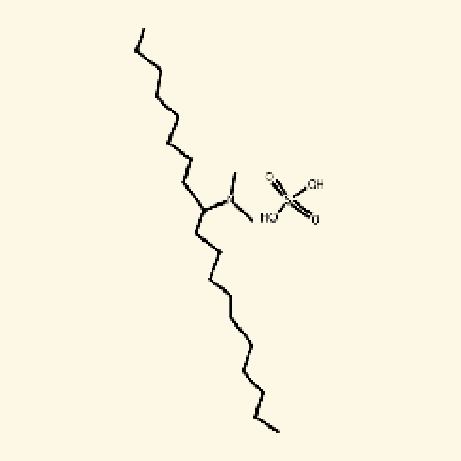 CCCCCCCCCCC(CCCCCCCC)N(C)C.O=S(=O)(O)O